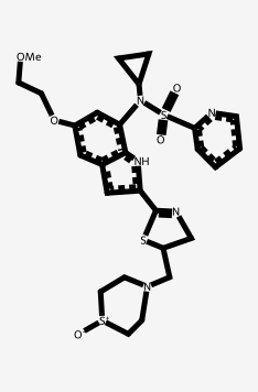 COCCOc1cc(N(C2CC2)S(=O)(=O)c2ccccn2)c2[nH]c(C3=NCC(CN4CC[S+]([O-])CC4)S3)cc2c1